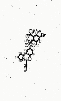 CC#CC(Oc1ccc(S(=O)(=O)N(C)c2c(C)cc(Br)cc2C(=O)OC)cc1)N1CCCC1